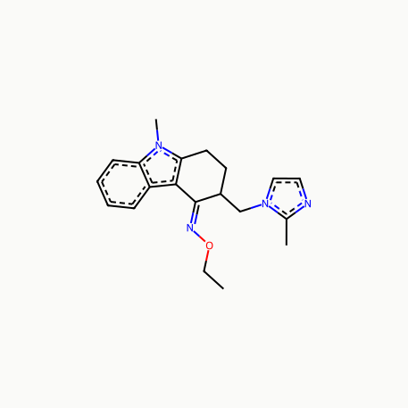 CCON=C1c2c(n(C)c3ccccc23)CCC1Cn1ccnc1C